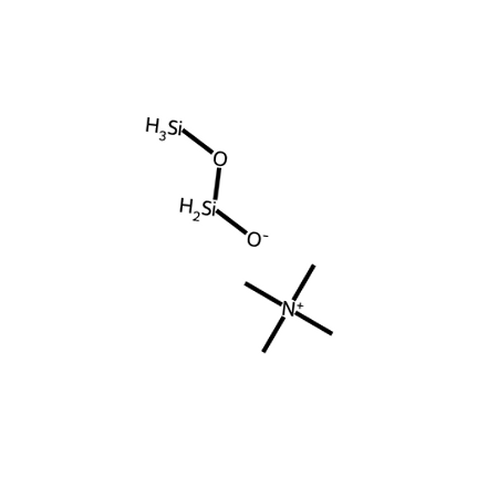 C[N+](C)(C)C.[O-][SiH2]O[SiH3]